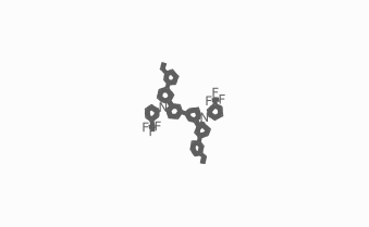 C=Cc1cccc(-c2ccc3c(c2)c2cc(-c4ccc5c(c4)c4cc(-c6cccc(C=C)c6)ccc4n5-c4cccc(C(F)(F)F)c4)ccc2n3-c2cccc(C(F)(F)F)c2)c1